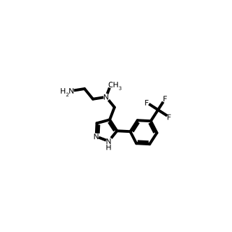 CN(CCN)Cc1cn[nH]c1-c1cccc(C(F)(F)F)c1